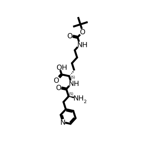 CC(C)(C)OC(=O)NCCCC[C@H](NC(=O)[C@@H](N)Cc1cccnc1)C(=O)O